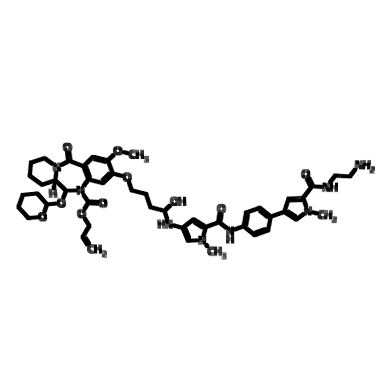 C=CCOC(=O)N1c2cc(OCCCC(O)Nc3cc(C(=O)Nc4ccc(-c5cc(C(=O)NCCN)n(C)c5)cc4)n(C)c3)c(OC)cc2C(=O)N2CCCC[C@H]2C1OC1CCCCO1